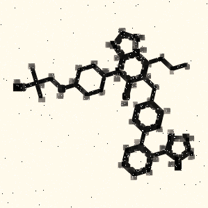 CCCc1c(Cc2ccc(-c3ccccc3-c3nnn[nH]3)cc2)c(=O)n(C2CCC(OCC(C)(C)O)CC2)c2ncnn12